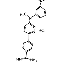 COC(=O)c1cccc(N(C)c2ccc(-c3ccc(C(=N)N)cc3)nn2)c1.Cl